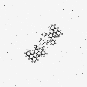 Cc1cc(-c2ccccc2OCC2CCCC[C@@H]2COc2ccccc2-c2cc(C)cc(-c3c4ccccc4cc4ccccc34)c2O)c(O)c(-c2c3ccccc3cc3ccccc23)c1